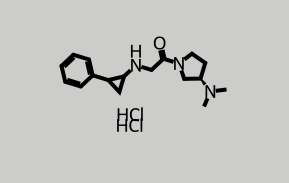 CN(C)[C@@H]1CCN(C(=O)CNC2CC2c2ccccc2)C1.Cl.Cl